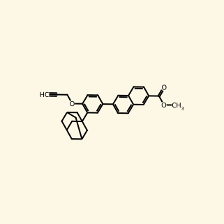 C#CCOc1ccc(-c2ccc3cc(C(=O)OC)ccc3c2)cc1C12CC3CC(CC(C3)C1)C2